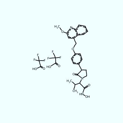 COc1cc(COc2ccc(C3CCN(C(C(=O)NO)C(C)C)C3=O)cc2)c2ccccc2n1.O=C(O)C(F)(F)F.O=C(O)C(F)(F)F